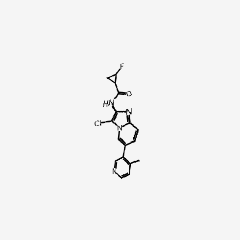 Cc1ccncc1-c1ccc2nc(NC(=O)C3CC3F)c(Cl)n2c1